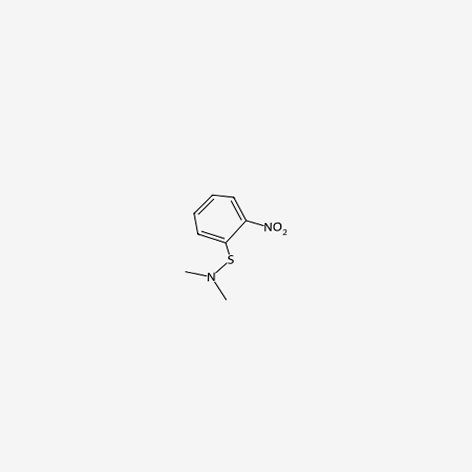 CN(C)Sc1ccccc1[N+](=O)[O-]